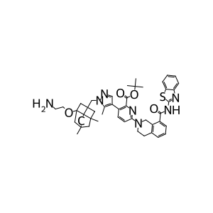 Cc1c(-c2ccc(N3CCc4cccc(C(=O)Nc5nc6ccccc6s5)c4C3)nc2C(=O)OC(C)(C)C)cnn1CC12CC3(C)CC4(C)CC(OCCN)(C1)C32C4